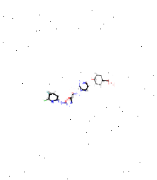 O=C(Nc1ccc(OC2CCC(C(=O)O)CC2)nc1)c1cnc(Nc2ccc(F)c(Cl)c2)o1